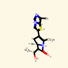 CCc1ncn2cc(C3=C(C(=O)O)N4C(=O)[C@H]([C@@H](C)O)[C@H]4C3)sc12